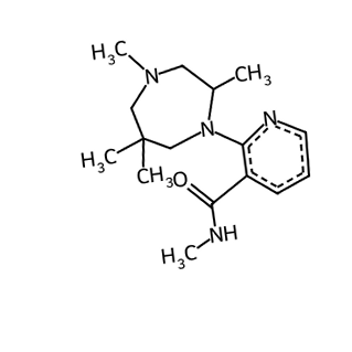 CNC(=O)c1cccnc1N1CC(C)(C)CN(C)CC1C